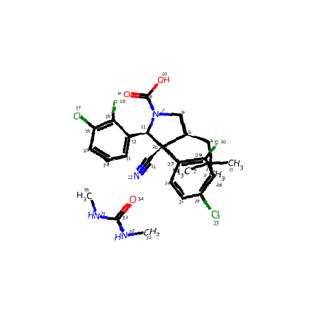 CC(C)(C)C[C@@H]1CN(C(=O)O)[C@H](c2cccc(Cl)c2F)[C@@]1(C#N)c1ccc(Cl)cc1F.CNC(=O)NC